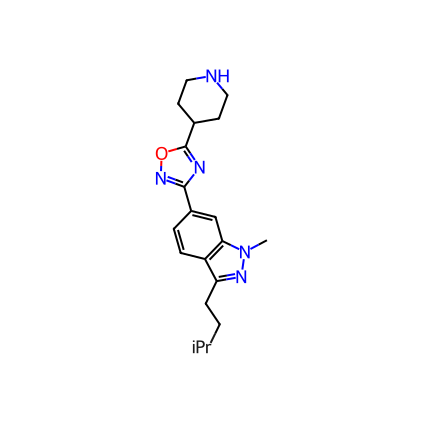 CC(C)CCc1nn(C)c2cc(-c3noc(C4CCNCC4)n3)ccc12